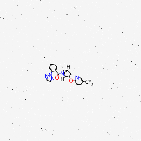 C[C@@H]1[C@@H]2C[C@H](Oc3ccc(C(F)(F)F)cn3)[C@@H](C2)N1C(=O)c1ccccc1-n1nccn1